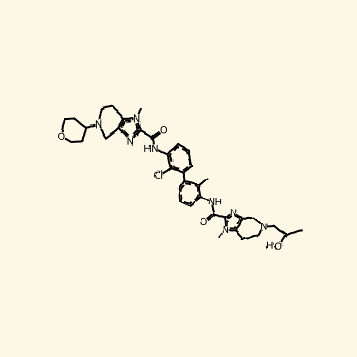 Cc1c(NC(=O)c2nc3c(n2C)CCN(CC(C)O)C3)cccc1-c1cccc(NC(=O)c2nc3c(n2C)CCN(C2CCOCC2)C3)c1Cl